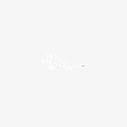 CC(C)N(C(=O)O)c1nnc2c(Nc3ccc(C#N)cc3)nccn12